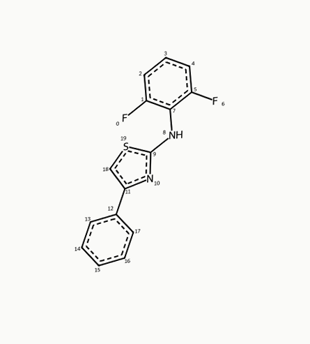 Fc1cccc(F)c1Nc1nc(-c2ccccc2)cs1